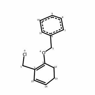 ClCC1=C(OCc2ccccc2)[CH]CC=C1